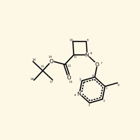 Cc1ccn[c]c1ON1CCC1C(=O)OC(C)(C)C